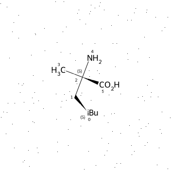 CC[C@H](C)C[C@](C)(N)C(=O)O